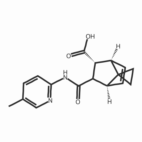 Cc1ccc(NC(=O)C2[C@H](C(=O)O)[C@H]3C=C[C@@H]2C32CC2)nc1